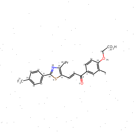 Cc1cc(C(=O)C=Cc2sc(-c3ccc(C(F)(F)F)cc3)nc2C(C)C)ccc1OCC(=O)O